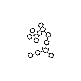 c1ccc(-c2ccc(-c3cc(-c4ccccc4)nc(-c4ccc(-c5cccc(-c6nc7ccccc7c7cc8c(cc67)-c6ccccc6C8(c6ccccc6)c6ccccc6)c5)cc4)n3)cc2)cc1